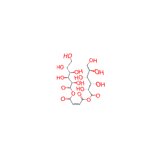 O=C(/C=C\C(=O)OC(=O)[C@H](O)[C@@H](O)[C@H](O)[C@H](O)CO)OC(=O)[C@H](O)[C@@H](O)[C@H](O)[C@H](O)CO